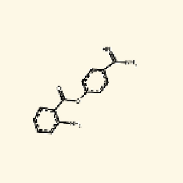 N=C(N)c1ccc(OC(=O)c2ccccc2N)cc1